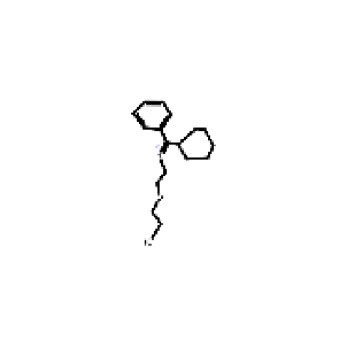 OCCOCC/N=C(/c1ccccc1)C1CCCCC1